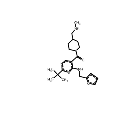 CNCC1CCN(C(=O)c2cnc(C(C)(C)C)nc2NCc2ccco2)CC1